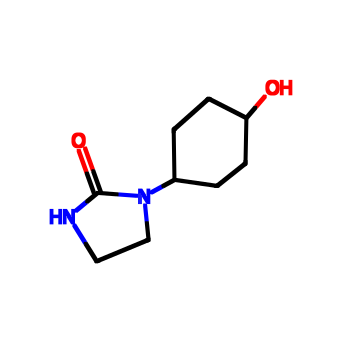 O=C1NCCN1C1CCC(O)CC1